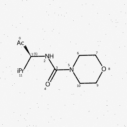 CC(=O)[C@@H](NC(=O)N1CCOCC1)C(C)C